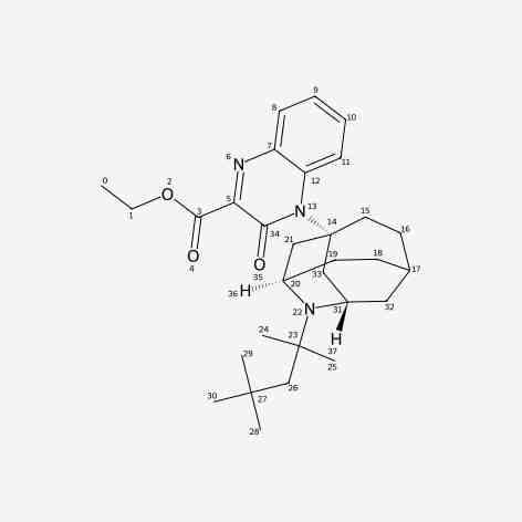 CCOC(=O)c1nc2ccccc2n([C@@]23CCC4CC[C@H](C2)N(C(C)(C)CC(C)(C)C)[C@@H](C4)C3)c1=O